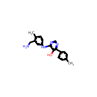 Cc1ccc(-c2ncnc(Nc3ccc(C)c(CN)c3)c2O)cc1